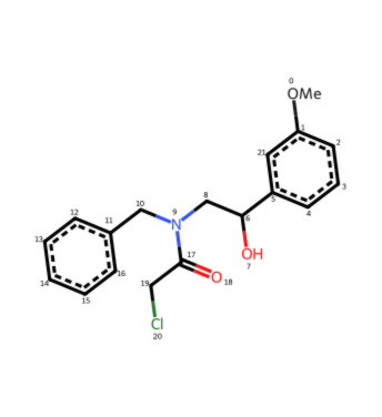 COc1cccc(C(O)CN(Cc2ccccc2)C(=O)CCl)c1